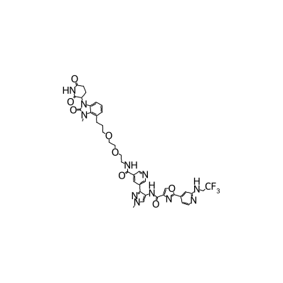 Cn1cc(NC(=O)c2coc(-c3ccnc(NCC(F)(F)F)c3)n2)c(-c2cncc(C(=O)NCCOCCOCCCc3cccc4c3n(C)c(=O)n4C3CCC(=O)NC3=O)c2)n1